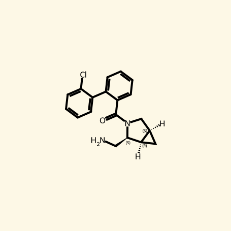 NC[C@@H]1[C@@H]2C[C@@H]2CN1C(=O)c1ccccc1-c1ccccc1Cl